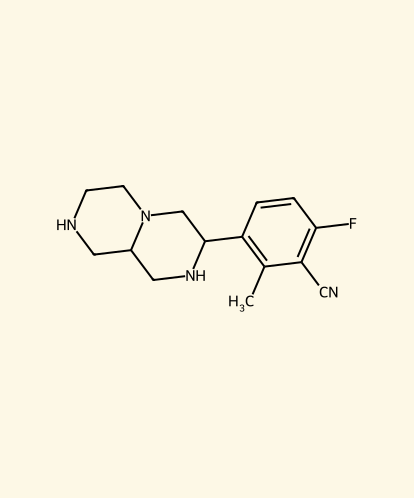 Cc1c(C2CN3CCNCC3CN2)ccc(F)c1C#N